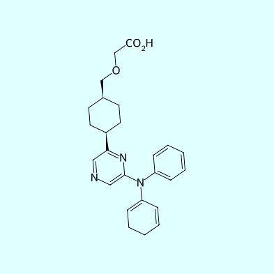 O=C(O)COC[C@H]1CC[C@@H](c2cncc(N(C3=CCCC=C3)c3ccccc3)n2)CC1